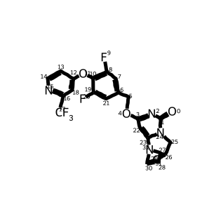 O=c1nc(OCc2cc(F)c(Oc3ccnc(C(F)(F)F)c3)c(F)c2)cc2n1CC13CCC=C(C1)N23